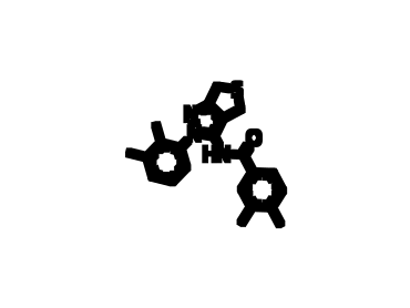 Cc1ccc(C(=O)Nc2c3c(nn2-c2cccc(C)c2C)CSC3)cc1C